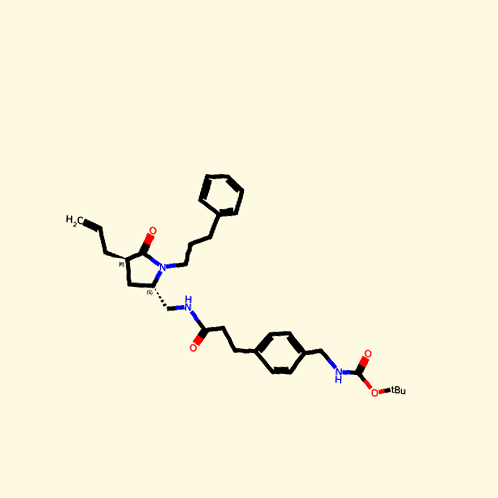 C=CC[C@@H]1C[C@@H](CNC(=O)CCc2ccc(CNC(=O)OC(C)(C)C)cc2)N(CCCc2ccccc2)C1=O